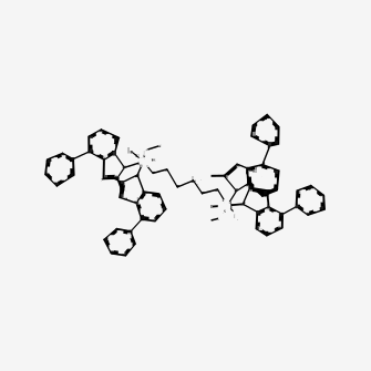 CC[SiH2][Zr]([Cl])([Cl])([CH2]CCCC[CH2][Zr]([Cl])([Cl])([SiH2]CC)([CH]1C(C)=Cc2c(-c3ccccc3)cccc21)[CH]1C(C)=Cc2c(-c3ccccc3)cccc21)([CH]1C(C)=Cc2c(-c3ccccc3)cccc21)[CH]1C(C)=Cc2c(-c3ccccc3)cccc21